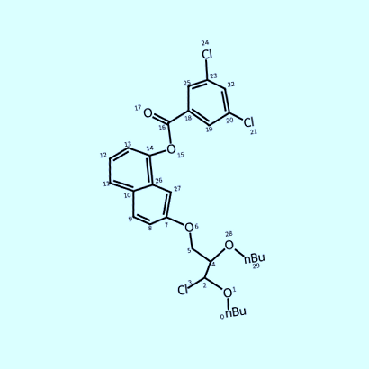 CCCCOC(Cl)C(COc1ccc2cccc(OC(=O)c3cc(Cl)cc(Cl)c3)c2c1)OCCCC